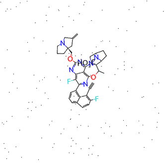 C#Cc1c(F)ccc2cccc(-c3nc4c5c(nc(OC[C@@]67CCCN6CC(=C)C7)nc5c3F)N3CC5CCC(C3C(C)O4)N5C(=O)O)c12